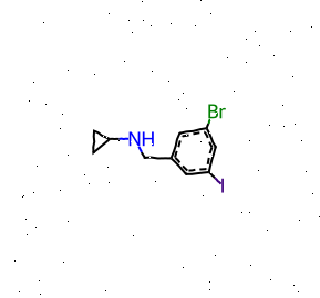 Brc1cc(I)cc(CNC2CC2)c1